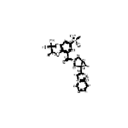 CC(Oc1ccc(S(C)(=O)=O)cc1C(=O)N1CC2CC2(c2cn3ccccc3n2)C1)C(F)(F)F